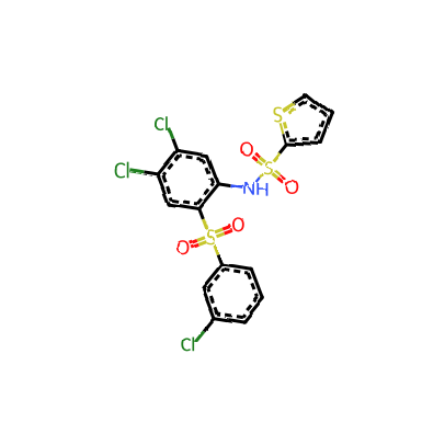 O=S(=O)(Nc1cc(Cl)c(Cl)cc1S(=O)(=O)c1cccc(Cl)c1)c1cccs1